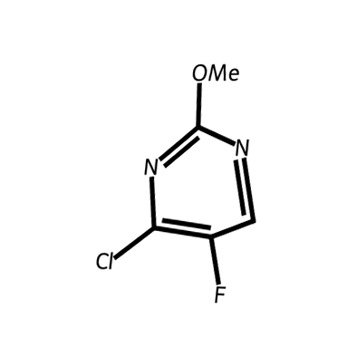 COc1ncc(F)c(Cl)n1